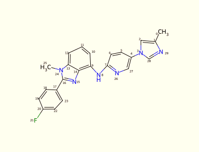 Cc1cn(-c2ccc(Nc3cccc4c3nc(-c3ccc(F)cc3)n4C)nc2)cn1